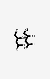 OC(CCl)CC(Cl)Cl.OC(CCl)CC(Cl)Cl